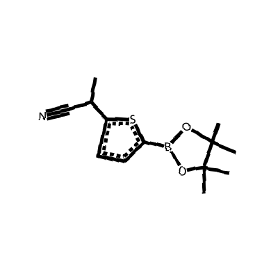 CC(C#N)c1ccc(B2OC(C)(C)C(C)(C)O2)s1